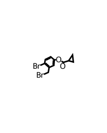 O=C(Oc1ccc(Br)c(CBr)c1)C1CC1